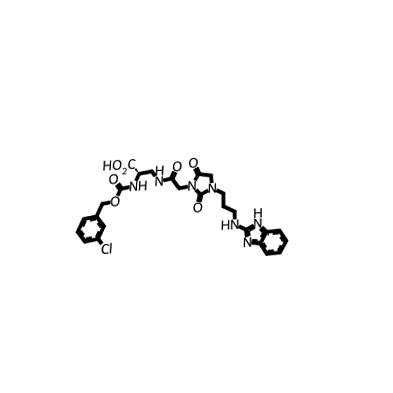 O=C(CN1C(=O)CN(CCCNc2nc3ccccc3[nH]2)C1=O)NC[C@H](NC(=O)OCc1cccc(Cl)c1)C(=O)O